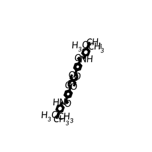 CC(C)(C)C1CCC(NC(=O)c2ccc(C3OCC4(CO3)COC(c3ccc(C(=O)NC5CCC(C(C)(C)C)CC5)cc3)OC4)cc2)CC1